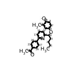 CCCCC(Oc1ccc([O])c(C)c1)c1cccc(-c2ccc(C(C)=O)cc2)n1